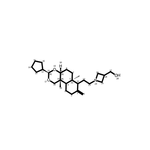 C=C1CCC2[C@@](C)(CC[C@H]3O[C@H](C4CCCC4)OC[C@@]23C)C1CCN1CC(CO)C1